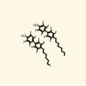 CCCCCCCCc1c(F)c(F)c(-c2c(F)c(F)c(O)c(F)c2F)c(F)c1F.CCCCCCCc1c(F)c(F)c(-c2c(F)c(F)c(O)c(F)c2F)c(F)c1F